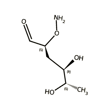 C[C@H](O)[C@H](O)C[C@@H](C=O)ON